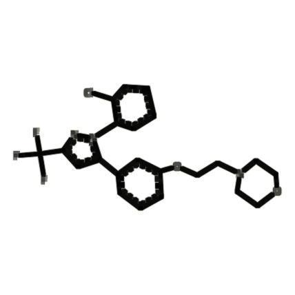 FC(F)(F)c1cc(-c2cccc(OCCN3CCOCC3)c2)n(-c2ccccc2Cl)n1